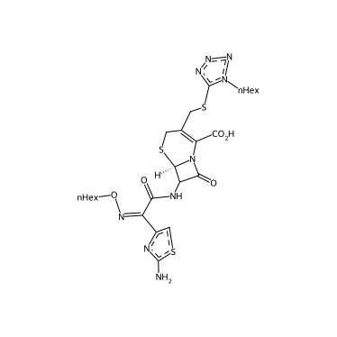 CCCCCCO/N=C(\C(=O)NC1C(=O)N2C(C(=O)O)=C(CSc3nnnn3CCCCCC)CS[C@H]12)c1csc(N)n1